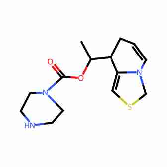 CC(OC(=O)N1CCNCC1)C1CC=CN2CSC=C12